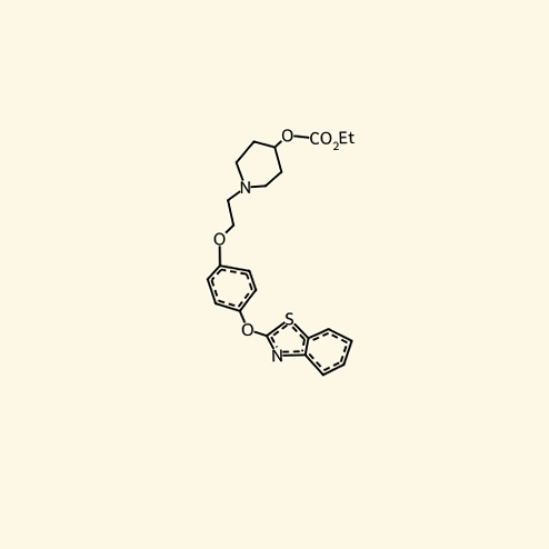 CCOC(=O)OC1CCN(CCOc2ccc(Oc3nc4ccccc4s3)cc2)CC1